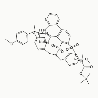 COc1ccc(CN(Cc2ccc(OC)cc2)S(=O)(=O)c2c(S(=O)(=O)C3CN(C(=O)OC(C)(C)C)C3)ccc(-c3cccnc3N)c2-c2nnn(Cc3ccc(OC)cc3)n2)cc1